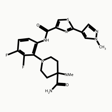 CNC1(C(N)=O)CCN(c2c(NC(=O)c3csc(-c4cnn(C)c4)n3)ccc(F)c2F)CC1